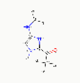 CC(C)Nc1cn(C)c(C(=O)C(C)(C)C)n1